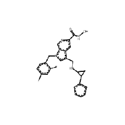 O=C(NO)c1cc2c(CNC3CC3c3ccccc3)cn(Cc3ccc(F)cc3F)c2cn1